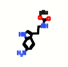 CCCCOC(=O)NCCc1c[nH]c2cc(N)ccc12